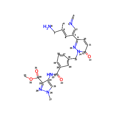 C=N/C=C(\C=C(/C)CN)c1ccc(=O)n(Cc2cccc(C(=O)Nc3cn(C)nc3C(=O)OC)c2)n1